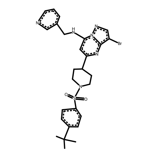 CC(C)(C)c1ccc(S(=O)(=O)N2CCC(c3cc(NCc4cccnc4)n4ncc(Br)c4n3)CC2)cc1